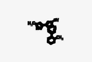 CC1CCCC=C1c1cnc2c(c1)c(-c1cnn(C)c1)cn2S